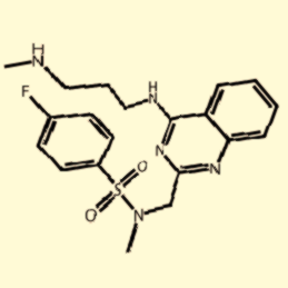 CNCCCNc1nc(CN(C)S(=O)(=O)c2ccc(F)cc2)nc2ccccc12